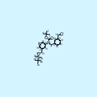 CC(C)(C)OC(=O)N(Cc1cccc(CCl)c1)c1cncc(CO[Si](C)(C)C(C)(C)C)c1